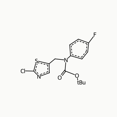 CC(C)(C)OC(=O)N(Cc1cnc(Cl)s1)c1ccc(F)cc1